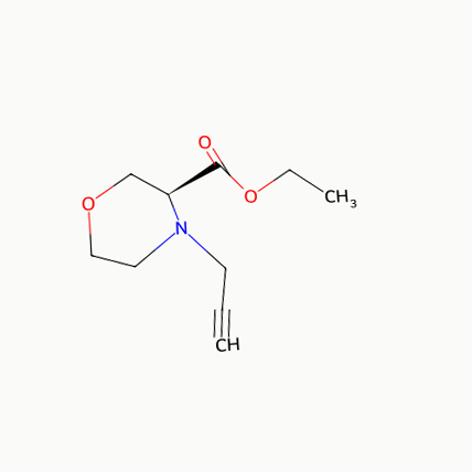 C#CCN1CCOC[C@H]1C(=O)OCC